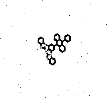 c1ccc(-c2c3ccccc3c(-c3cc4c5c(c3)n3c6ccccc6nc3n5c3nc5ccccc5n43)c3ccccc23)cc1